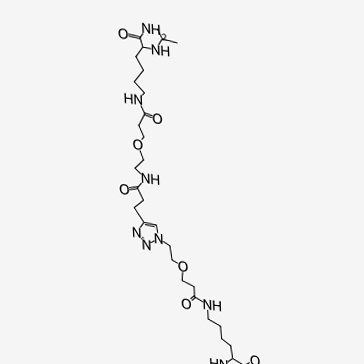 CCNC(CCCCNC(=O)CCOCCn1cc(CCC(=O)NCCOCCC(=O)NCCCCC(NC(C)C)C(N)=O)nn1)C(N)=O